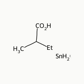 CCC(C)C(=O)O.[SnH2]